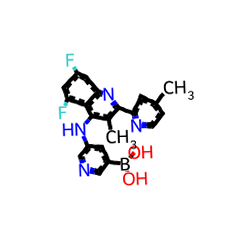 Cc1ccnc(-c2nc3cc(F)cc(F)c3c(Nc3cncc(B(O)O)c3)c2C)c1